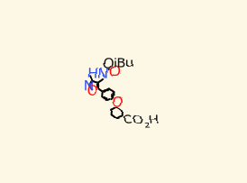 Cc1noc(-c2ccc(O[C@@H]3CCC[C@@H](C(=O)O)C3)cc2)c1CNC(=O)OCC(C)C